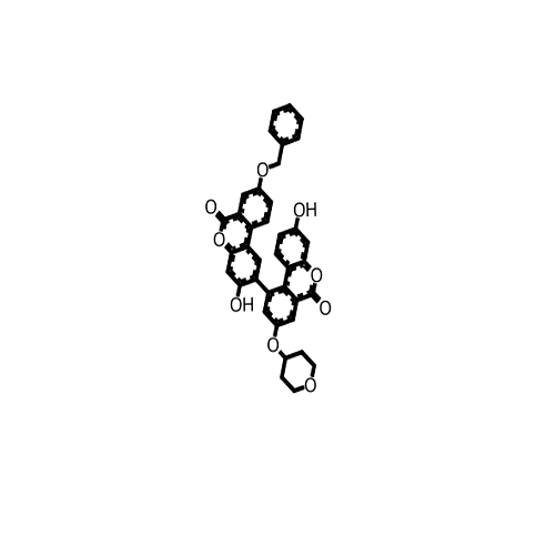 O=c1oc2cc(O)c(-c3cc(OC4CCOCC4)cc4c(=O)oc5cc(O)ccc5c34)cc2c2ccc(OCc3ccccc3)cc12